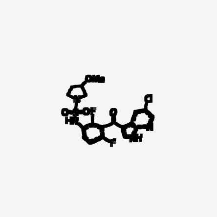 COC1CCN(S(=O)(=O)Nc2ccc(F)c(C(=O)c3c[nH]c4ncc(Cl)cc34)c2F)C1